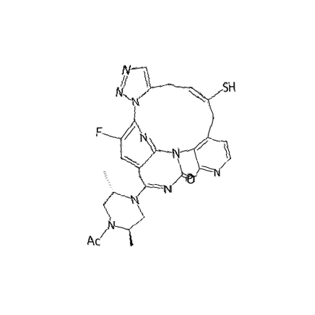 CC(=O)N1C[C@H](C)N(c2nc(=O)n3c4nc(c(F)cc24)-n2nncc2C/C=C(/S)Cc2ccnc(C(C)C)c2-3)C[C@H]1C